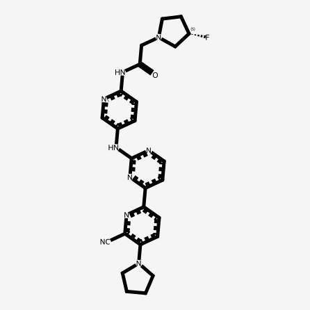 N#Cc1nc(-c2ccnc(Nc3ccc(NC(=O)CN4CC[C@H](F)C4)nc3)n2)ccc1N1CCCC1